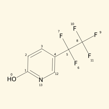 Oc1ccc(C(F)(F)C(F)(F)F)cn1